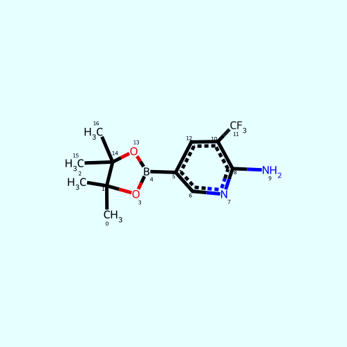 CC1(C)OB(c2cnc(N)c(C(F)(F)F)c2)OC1(C)C